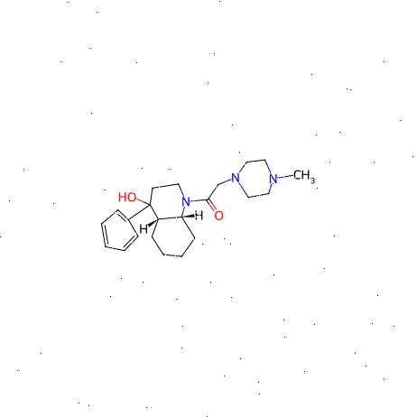 CN1CCN(CC(=O)N2CCC(O)(c3ccccc3)[C@H]3CCCC[C@H]32)CC1